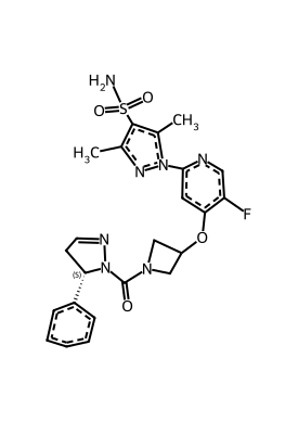 Cc1nn(-c2cc(OC3CN(C(=O)N4N=CC[C@H]4c4ccccc4)C3)c(F)cn2)c(C)c1S(N)(=O)=O